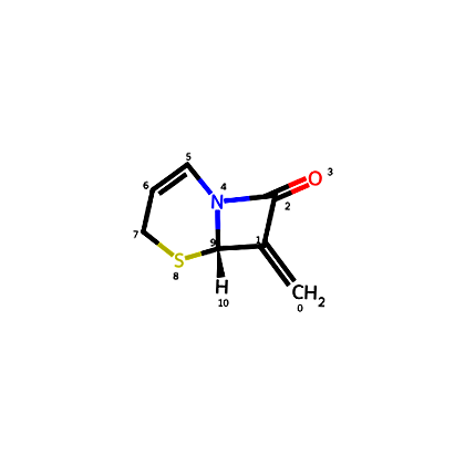 C=C1C(=O)N2C=CCS[C@@H]12